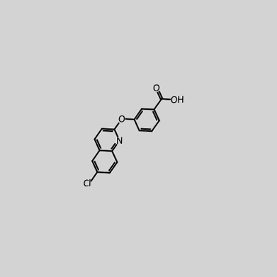 O=C(O)c1cccc(Oc2ccc3cc(Cl)ccc3n2)c1